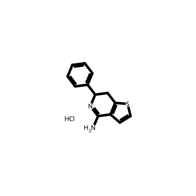 Cl.NC1=NC(c2ccccc2)Cc2sccc21